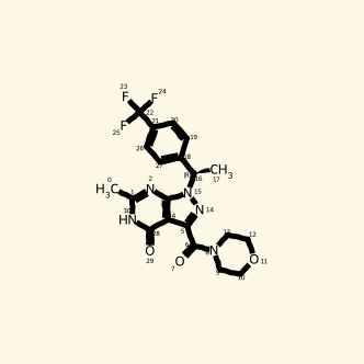 Cc1nc2c(c(C(=O)N3CCOCC3)nn2[C@H](C)c2ccc(C(F)(F)F)cc2)c(=O)[nH]1